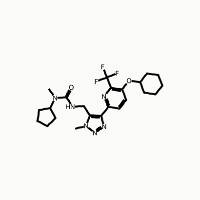 CN(C(=O)NCc1c(-c2ccc(OC3CCCCC3)c(C(F)(F)F)n2)nnn1C)C1CCCC1